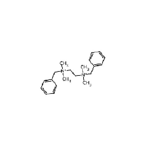 C[N+](C)(CC[N+](C)(C)Cc1ccccc1)Cc1ccccc1